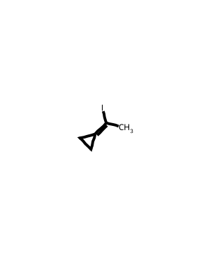 CC(I)=C1CC1